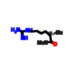 CCC(C)[C@@H](CCCCNC(=N)N)C(=O)NC